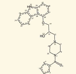 O=C(c1cccs1)N1CCN(CC(O)COc2cccc3[nH]c4ccccc4c23)CC1